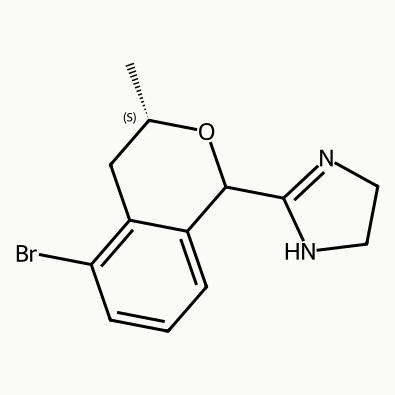 C[C@H]1Cc2c(Br)cccc2C(C2=NCCN2)O1